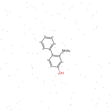 CC(=O)Nc1cc(O)ccc1-c1ccccc1